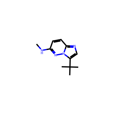 CNc1ccc2ncc(C(C)(C)C)n2n1